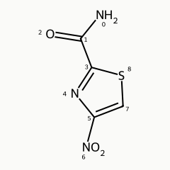 NC(=O)c1nc([N+](=O)[O-])cs1